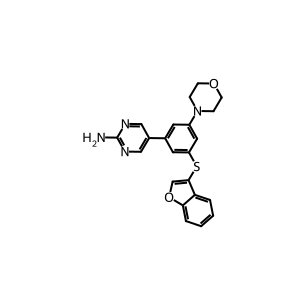 Nc1ncc(-c2cc(Sc3coc4ccccc34)cc(N3CCOCC3)c2)cn1